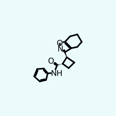 O=C(Nc1ccccc1)[C@H]1CC[C@@H]1c1noc2c1CCCC2